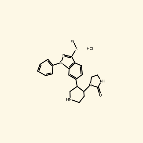 CCSc1nn(-c2ccccc2)c2cc(C3CNCCC3N3CCNC3=O)ccc12.Cl